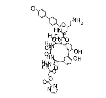 C[C@H](NC(=O)[C@@H]1Cc2ccc(O)c(c2)-c2cc(ccc2O)[C@H](N(C)C(=O)[C@H](CCCCN)NC(=O)c2ccc(-c3ccc(Cl)cc3)cc2)C(=O)N[C@@H](C)C(=O)N1)C(=O)COC(=O)c1ncccn1